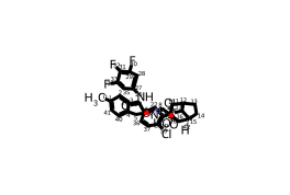 Cc1ccc(CO/N=C/[C@]2(O)CC3CC[C@@H](C2)C3S(=O)(=O)c2cc(C(=O)Nc3cc(F)c(F)c(F)c3)ccc2Cl)cc1